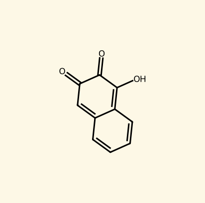 O=C1C=c2ccccc2=C(O)C1=O